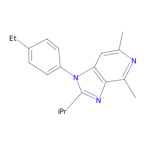 [CH2]Cc1ccc(-n2c(C(C)C)nc3c(C)nc(C)cc32)cc1